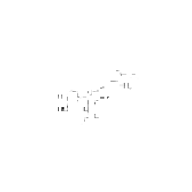 CC(=O)N[C@@H]1Oc2ccc(C=C(N)C(C)=O)cc2OC1c1ccc(O)c(O)c1